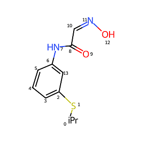 CC(C)Sc1cccc(NC(=O)/C=N\O)c1